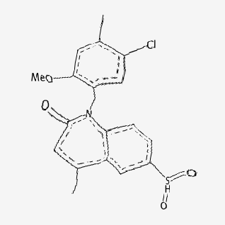 COc1cc(C)c(Cl)cc1-n1c(=O)cc(C)c2cc([SH](=O)=O)ccc21